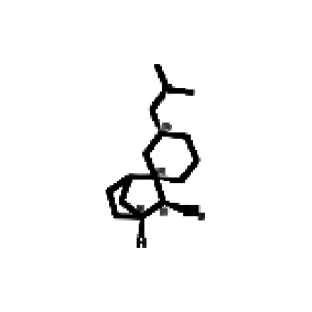 CN(C)C[C@@H]1CCC[C@@]2(C1)C1CC[C@H](C1)[C@@H]2N